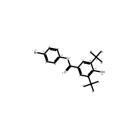 CC(C)(C)c1cc(C(=O)Oc2ccc(Br)cc2)cc(C(C)(C)C)c1O